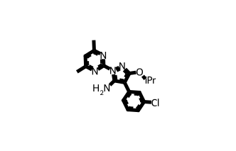 Cc1cc(C)nc(-n2nc(OC(C)C)c(-c3cccc(Cl)c3)c2N)n1